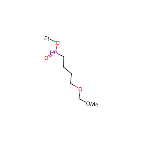 CCO[PH](=O)CCCCOCOC